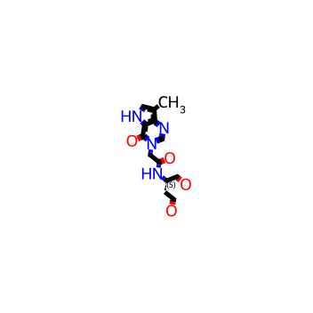 Cc1c[nH]c2c(=O)n(CC(=O)N[C@H](C=O)CC=O)cnc12